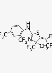 FC(=C1SC(Nc2ccc(C(F)(F)F)cc2C(F)(F)F)=NC1(C(F)(F)F)C(F)(F)F)C(F)(F)F